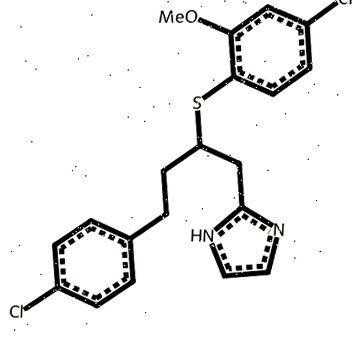 COc1cc(Cl)ccc1SC(CCc1ccc(Cl)cc1)Cc1ncc[nH]1